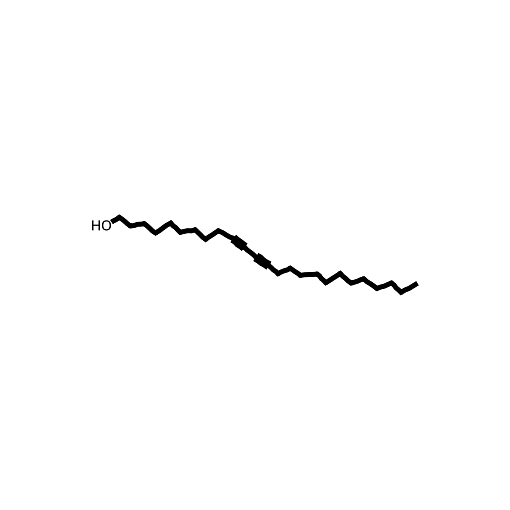 CCCCCCCCCCCCC#CC#CCCCCCCCCCO